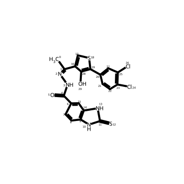 CC(=NNC(=O)c1ccc2[nH]c(=S)[nH]c2c1)c1csc(-c2ccc(Cl)c(Cl)c2)c1O